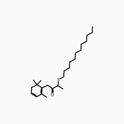 CCCCCCCCCCCCSC(C)C(=O)CC1=C(C)C=CCC1(C)C